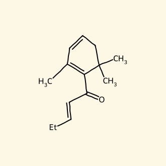 CCC=CC(=O)C1=C(C)C=CCC1(C)C